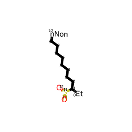 [CH2]CC(CCCCCCCCCCCCCCCCC)[SH](=O)=O